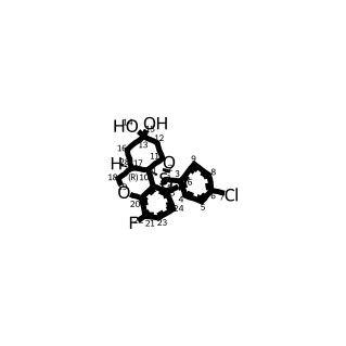 O=S(=O)(c1ccc(Cl)cc1)[C@@]12CCC(O)(O)C[C@@H]1COc1c(F)ccc(F)c12